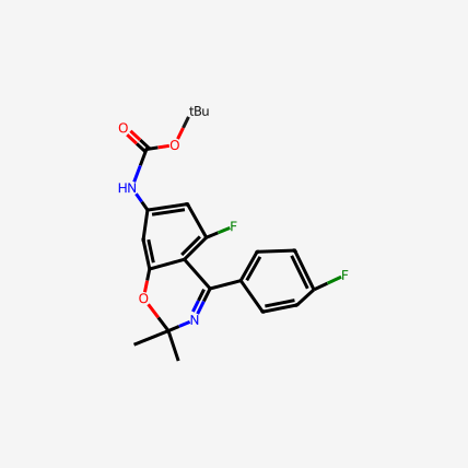 CC(C)(C)OC(=O)Nc1cc(F)c2c(c1)OC(C)(C)N=C2c1ccc(F)cc1